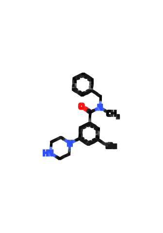 CN(Cc1ccccc1)C(=O)c1cc(N2CCNCC2)cc(C(C)(C)C)c1